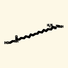 N=N/N=C(\N)CCCCCCCCCCCCCCCC(=O)NCCO